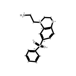 NCCN1CCOc2ccc(S(=O)(=O)c3ccccc3)cc21